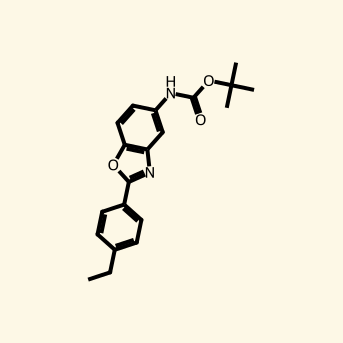 CCc1ccc(-c2nc3cc(NC(=O)OC(C)(C)C)ccc3o2)cc1